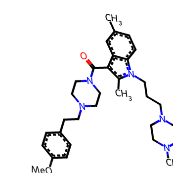 COc1ccc(CCN2CCN(C(=O)c3c(C)n(CCCN4CCN(C)CC4)c4ccc(C)cc34)CC2)cc1